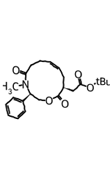 CN1C(=O)CCC=CC[C@@H](CC(=O)OC(C)(C)C)C(=O)OC[C@H]1c1ccccc1